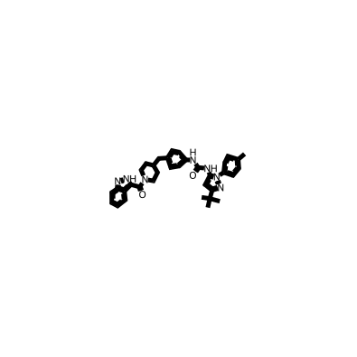 Cc1ccc(-n2nc(C(C)(C)C)cc2NC(=O)Nc2ccc(CC3CCN(C(=O)c4[nH]nc5ccccc45)CC3)cc2)cc1